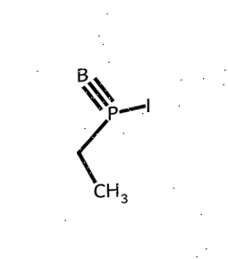 B#P(I)CC